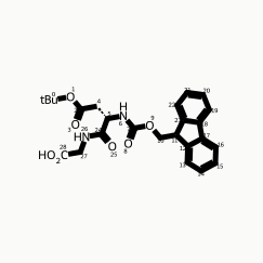 CC(C)(C)OC(=O)C[C@H](NC(=O)OCC1c2ccccc2-c2ccccc21)C(=O)NCC(=O)O